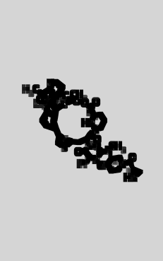 CCn1c(-c2cccnc2[C@H](C)OC)c2c3cc(ccc31)-c1csc(n1)C[C@H](NC(=O)[C@H](C(C)C)N(C)C(=O)N(C)[C@H]1CCCN(C(=O)[C@H]3CN3)C1)C(=O)N1CCC[C@H](N1)C(=O)OCC(C)(C)C2